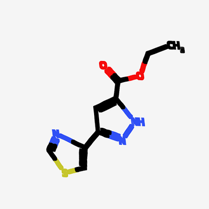 CCOC(=O)c1cc(-c2cscn2)n[nH]1